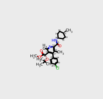 COC(=O)[C@@H](OC(C)(C)C)c1c(C)nc(C(=O)N[C@H]2CC[C@H](C)CC2)c(C)c1-c1ccc(Cl)cc1